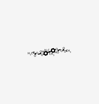 COC(=O)OCC(O)Oc1ccc(C(C)(C)c2ccc(OC(O)COC(=O)OC)cc2)cc1